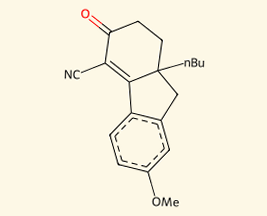 CCCCC12CCC(=O)C(C#N)=C1c1ccc(OC)cc1C2